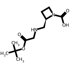 CC(C)(C)OC(=O)CNC[C@H]1CCN1C(=O)O